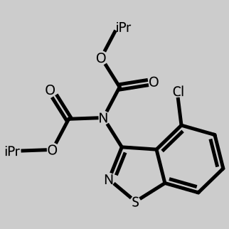 CC(C)OC(=O)N(C(=O)OC(C)C)c1nsc2cccc(Cl)c12